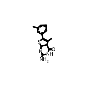 CC1=C(c2cccc(C)c2)SC2N=C(N)NC(=O)C12